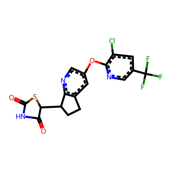 O=C1NC(=O)C(C2CCc3cc(Oc4ncc(C(F)(F)F)cc4Cl)cnc32)S1